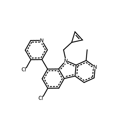 Cc1nccc2c3cc(Cl)cc(-c4cnccc4Cl)c3n(CC3C=C3)c12